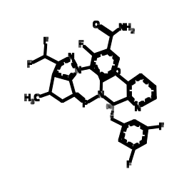 CC1CC2=PN([C@@H](Cc3cc(F)cc(F)c3)c3ncccc3-c3ccc(F)c(C(N)=O)c3)C(=O)Cn3nc(C(F)F)c1c32